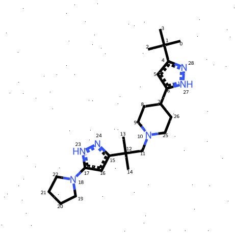 CC(C)(C)c1cc(C2CCN(CC(C)(C)c3cc(N4CCCC4)[nH]n3)CC2)[nH]n1